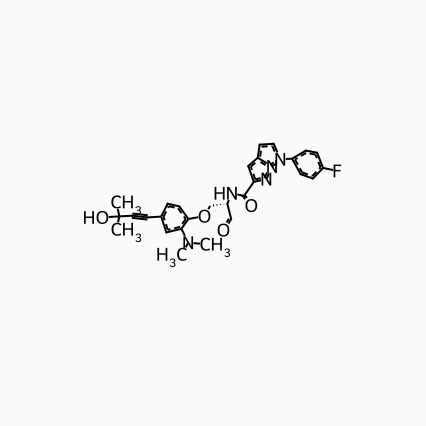 CN(C)c1cc(C#CC(C)(C)O)ccc1OC[C@@H](C=O)NC(=O)c1cc2ccn(-c3ccc(F)cc3)n2n1